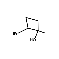 CC(C)C1CCC1(C)O